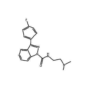 CN(C)CCNC(=O)n1nc(-c2ccc(F)cc2)c2c[c]ccc21